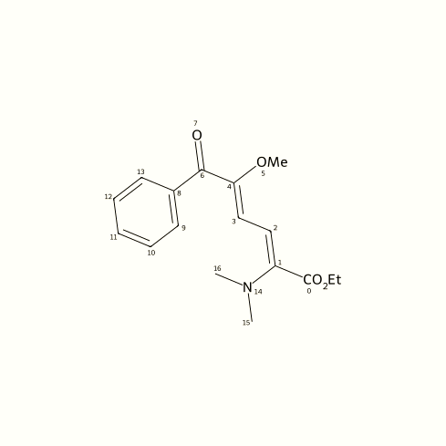 CCOC(=O)C(=CC=C(OC)C(=O)c1ccccc1)N(C)C